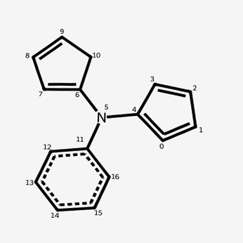 C1=CC=CC=1N(C1=CC=CC1)c1ccccc1